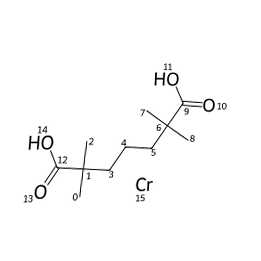 CC(C)(CCCC(C)(C)C(=O)O)C(=O)O.[Cr]